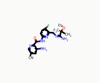 CCO[C@](C)(/C(N)=N\Cc1nc(NC(=O)c2ncc(C#N)cc2N)ccc1F)C(F)(F)F